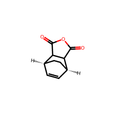 O=C1OC(=O)C2C1[C@@H]1C=C[C@H]2CC1